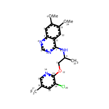 COc1cc2ncnc(NC(C)COc3ncc(C(F)(F)F)cc3Cl)c2cc1OC